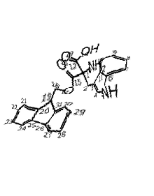 NC(Cc1c[nH]c2ccccc12)(C(=O)O)C(=O)OCC1c2ccccc2-c2ccccc21